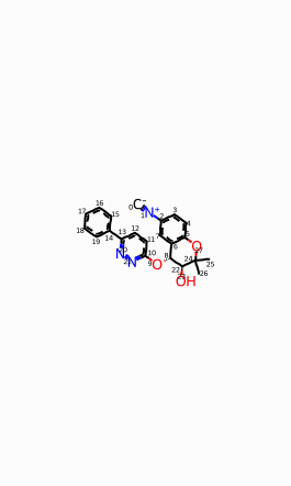 [C-]#[N+]c1ccc2c(c1)[C@@H](Oc1ccc(-c3ccccc3)nn1)[C@H](O)C(C)(C)O2